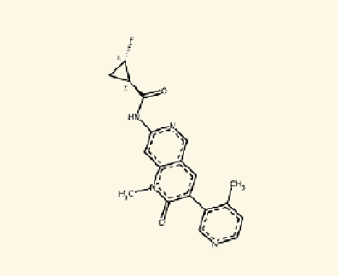 Cc1ccncc1-c1cc2cnc(NC(=O)[C@H]3C[C@@H]3F)cc2n(C)c1=O